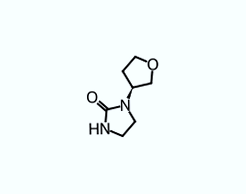 O=C1NCCN1[C@H]1CCOC1